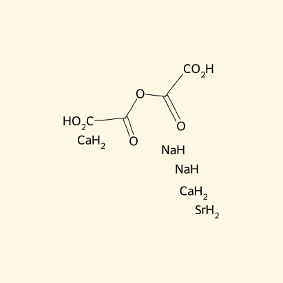 O=C(O)C(=O)OC(=O)C(=O)O.[CaH2].[CaH2].[NaH].[NaH].[SrH2]